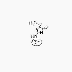 CC1CC12SC(NC13CC4CC(CC(C4)C1)C3)=NC2=O